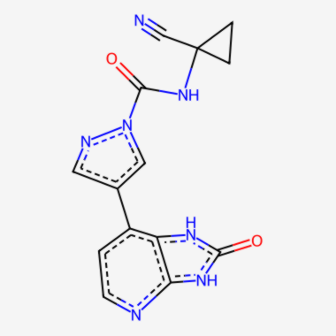 N#CC1(NC(=O)n2cc(-c3ccnc4[nH]c(=O)[nH]c34)cn2)CC1